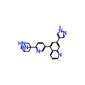 Cn1cc(-c2cc(-c3ccc(C45CNCC(C4)N5)nc3)c3cccnc3c2)cn1